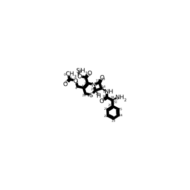 CC(=O)OCC1=C(C(=O)O[SiH3])N2C(=O)[C@@H](NC(=O)[C@@H](N)c3ccccc3)[C@H]2SC1